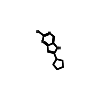 Clc1ncc2[nH]c(C3CCCC3)cc2n1